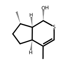 CC1=CS[C@@H](O)[C@H]2[C@@H]1CC[C@@H]2C